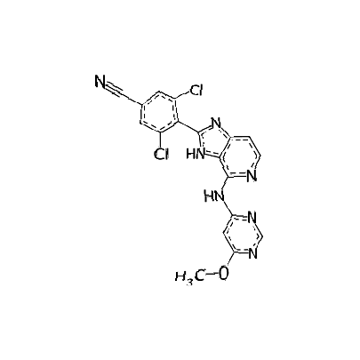 COc1cc(Nc2nccc3nc(-c4c(Cl)cc(C#N)cc4Cl)[nH]c23)ncn1